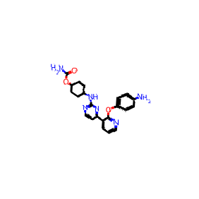 NC(=O)OC1CCC(Nc2nccc(-c3cccnc3Oc3ccc(N)cc3)n2)CC1